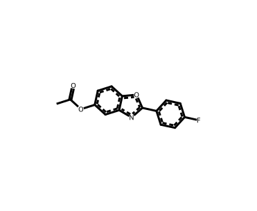 CC(=O)Oc1ccc2oc(-c3ccc(F)cc3)nc2c1